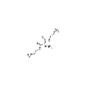 C=CCOC(=O)CC(=O)OCC=C.[MgH2]